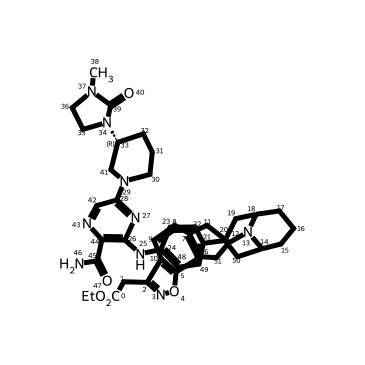 CCOC(=O)Cc1noc2c3c(ccc12)CC(N1C2CCCC1CC(c1ccc(Nc4nc(N5CCC[C@@H](N6CCN(C)C6=O)C5)cnc4C(N)=O)cc1)C2)C3